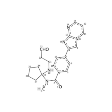 CN(C(=O)c1ccc(-c2cn3cccnc3n2)cc1)C1(NCCC=O)CCCC1